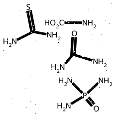 NC(=O)O.NC(N)=O.NC(N)=S.NP(N)(N)=O